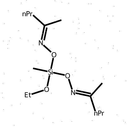 CCCC(C)=NO[Si](C)(OCC)ON=C(C)CCC